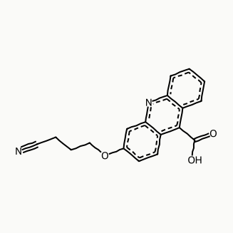 N#CCCCOc1ccc2c(C(=O)O)c3ccccc3nc2c1